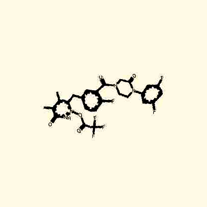 Cc1c(C)c(=O)[nH][n+](OC(=O)C(F)(F)F)c1Cc1ccc(F)c(C(=O)N2CCN(c3cc(F)cc(F)c3)C(=O)C2)c1